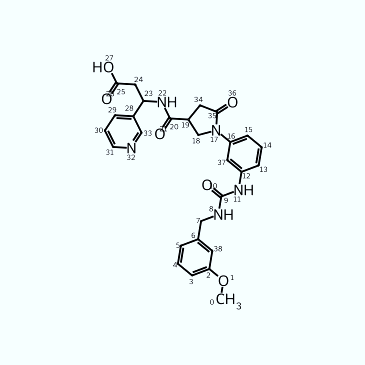 COc1cccc(CNC(=O)Nc2cccc(N3CC(C(=O)NC(CC(=O)O)c4cccnc4)CC3=O)c2)c1